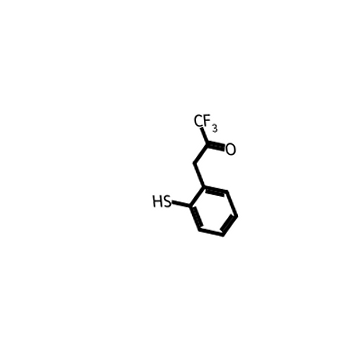 O=C(Cc1ccccc1S)C(F)(F)F